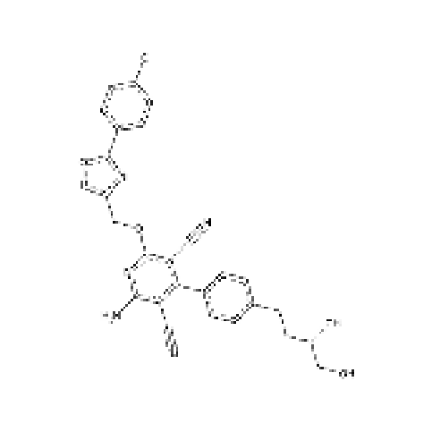 N#Cc1c(N)nc(OCc2coc(-c3ccc(Cl)cc3)n2)c(C#N)c1-c1ccc(CC[C@H](O)CO)cc1